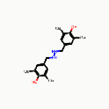 CC(C)(C)c1cc(CNNCc2cc(C(C)(C)C)c(O)c(C(C)(C)C)c2)cc(C(C)(C)C)c1O